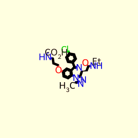 CCNC(=O)C[C@@H]1N=C(c2ccc(Cl)cc2)c2cc(OCCCNC(=O)O)ccc2-n2c(C)nnc21